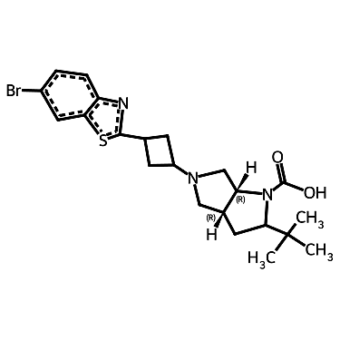 CC(C)(C)C1C[C@@H]2CN(C3CC(c4nc5ccc(Br)cc5s4)C3)C[C@@H]2N1C(=O)O